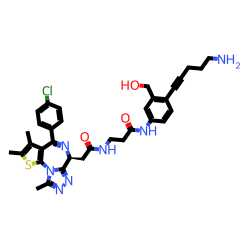 Cc1sc2c(c1C)C(c1ccc(Cl)cc1)=N[C@@H](CC(=O)NCCC(=O)Nc1ccc(C#CCCCN)c(CO)c1)c1nnc(C)n1-2